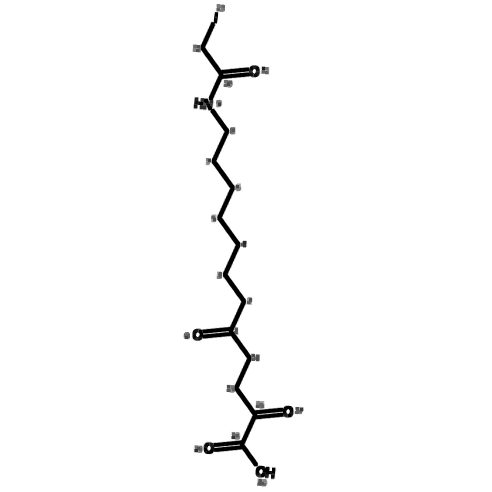 O=C(CCCCCCCNC(=O)CI)CCC(=O)C(=O)O